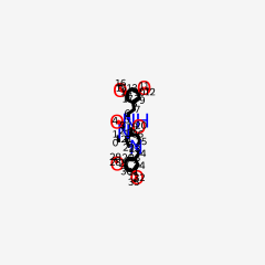 CCN(C(=O)NCCc1cc(OC)cc(OC)c1)C1(C=O)CCN(Cc2cc(OC)cc(OC)c2)CC1